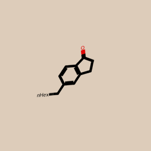 CCCCCCCc1ccc2c(c1)CCC2=O